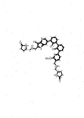 COc1nc(-c2cccc(-c3cccc(-c4cnc5c(Cl)c(CNC[C@@H]6CCC(=O)N6)sc5c4)c3Cl)c2Cl)ccc1CNC[C@H]1CCC(=O)N1